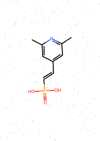 Cc1cc(/C=C/P(=O)(O)O)cc(C)n1